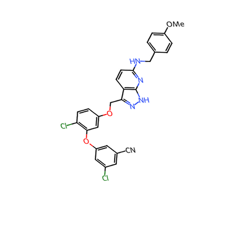 COc1ccc(CNc2ccc3c(COc4ccc(Cl)c(Oc5cc(Cl)cc(C#N)c5)c4)n[nH]c3n2)cc1